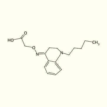 CCCCCN1CCC(=NOCC(=O)O)c2ccccc21